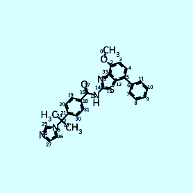 COc1ccc(-c2ccccc2)c2sc(NC(=O)c3ccc(C(C)(C)n4ccnc4)cc3)nc12